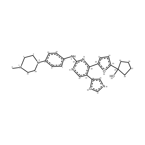 CN1CCN(c2ccc(Nc3ncc(-c4cnco4)c(-c4ccc(C5(O)CCCC5)o4)n3)cc2)CC1